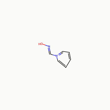 ON=C[n+]1ccccc1